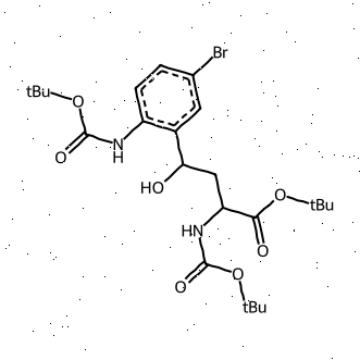 CC(C)(C)OC(=O)Nc1ccc(Br)cc1C(O)CC(NC(=O)OC(C)(C)C)C(=O)OC(C)(C)C